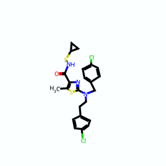 Cc1sc(N(CCc2ccc(Cl)cc2)Cc2ccc(Cl)cc2)nc1C(=O)NSC1CC1